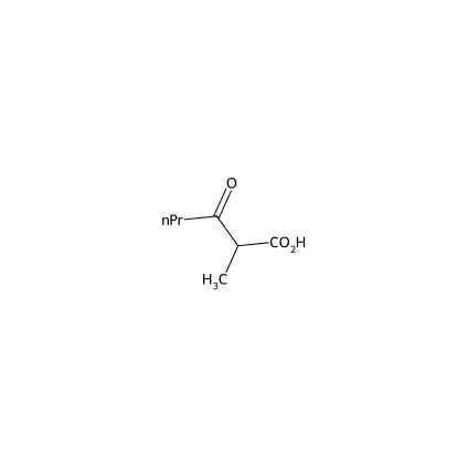 CCCC(=O)C(C)C(=O)O